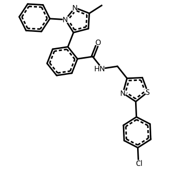 Cc1cc(-c2ccccc2C(=O)NCc2csc(-c3ccc(Cl)cc3)n2)n(-c2ccccc2)n1